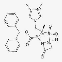 Cc1cn(C[C@@]2(C)[C@H](C(=O)OC(c3ccccc3)c3ccccc3)N3C(=O)C[C@@H]3S2(=O)=O)c[n+]1C